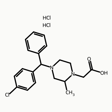 CC1CN(C(c2ccccc2)c2ccc(Cl)cc2)CCN1CC(=O)O.Cl.Cl